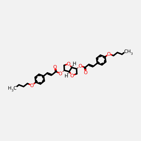 CCCCOc1ccc(/C=C/C(=O)O[C@@H]2CO[C@@H]3[C@H]2OC[C@H]3OC(=O)/C=C/c2ccc(OCCCC)cc2)cc1